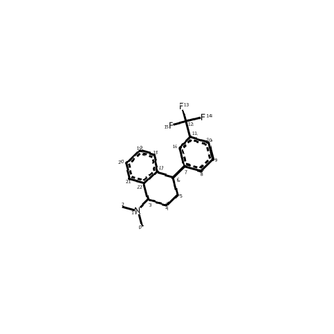 CN(C)C1CCC(c2cccc(C(F)(F)F)c2)c2ccccc21